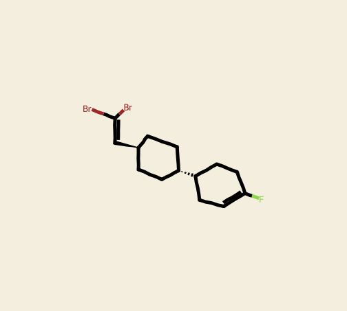 FC1=CCC([C@H]2CC[C@H](C=C(Br)Br)CC2)CC1